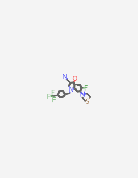 N#Cc1cn(Cc2ccc(C(F)(F)F)cc2)c2cc(N3CCSCC3)c(F)cc2c1=O